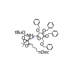 CCCCCCCCCCCCCC[C@H]1OC(C)(C)O[C@H]1[C@H](/C=C/[C@H]1OC(COCc2ccccc2)[C@H](OCc2ccccc2)[C@@H](OCc2ccccc2)C1OCc1ccccc1)NC(=O)OC(C)(C)C